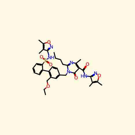 CCCCc1nc(C)c(C(=O)Nc2noc(C)c2C)c(=O)n1Cc1ccc(-c2ccccc2S(=O)(=O)Nc2noc(C)c2C)c(COCC)c1